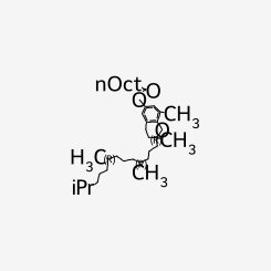 CCCCCCCCC(=O)Oc1cc(C)c2c(c1)CC[C@@](C)(CCC[C@H](C)CCC[C@H](C)CCCC(C)C)O2